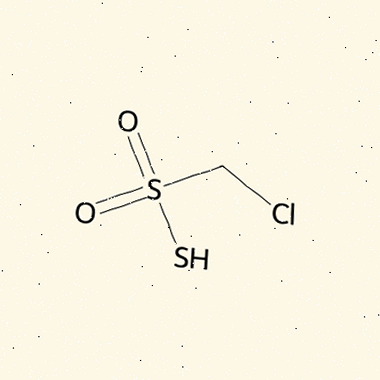 O=S(=O)(S)CCl